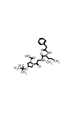 CC[C@H](C)[C@H](NC(=O)Cc1ccccc1)C(=O)NCC(=O)N1C[C@H](OC(C)(C)C)C[C@H]1C(=O)O